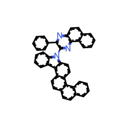 c1ccc(-c2nc3ccc4ccccc4c3nc2-n2c3ccccc3c3c4ccc5ccc6ccccc6c5c4ccc32)cc1